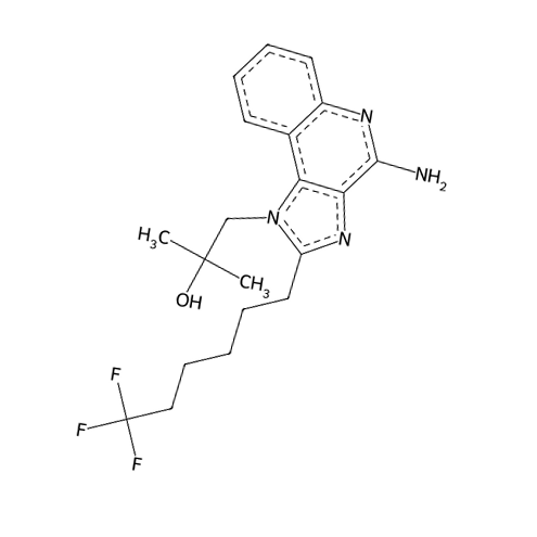 CC(C)(O)Cn1c(CCCCCC(F)(F)F)nc2c(N)nc3ccccc3c21